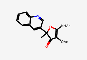 CC(=O)NC1=C(OC(C)=O)C(=O)C(C)(c2cnc3ccccc3c2)O1